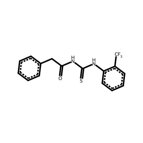 O=C(Cc1ccccc1)NC(=S)Nc1ccccc1C(F)(F)F